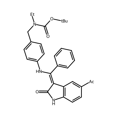 CCN(Cc1ccc(N/C(=C2\C(=O)Nc3ccc(C(C)=O)cc32)c2ccccc2)cc1)C(=O)OC(C)(C)C